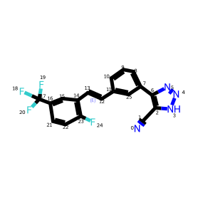 N#Cc1[nH]nnc1-c1cccc(/C=C/c2cc(C(F)(F)F)ccc2F)c1